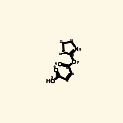 O=C(O)/C=C\C(=O)OC1=NCCS1